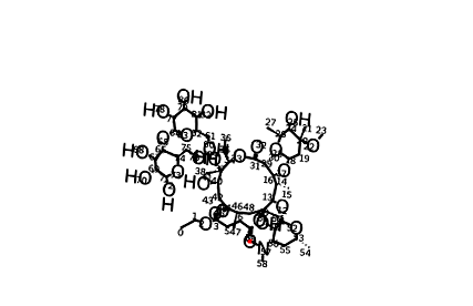 CCOC(=O)CCC(=O)O[C@H]1[C@H](O[C@@H]2[C@@H](C)[C@H](O[C@H]3C[C@@](C)(OC)[C@@H](O)[C@H](C)O3)[C@@H](C)C(=O)O[C@H](CC)[C@@](C)(O)[C@H](O)[C@@H](C)C(=O)[C@H](C)C[C@@]2(C)O)O[C@H](C)C[C@@H]1N(C)C.OC[C@H]1O[C@@H](O[C@H]2[C@H](O)[C@@H](O)[C@H](O)O[C@@H]2CO)[C@H](O)[C@@H](O)[C@H]1O